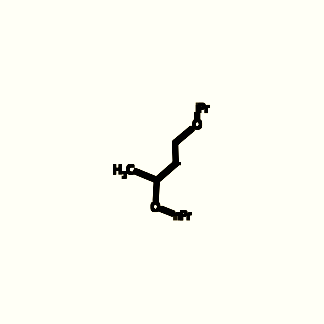 CCCOC(C)[CH]COC(C)C